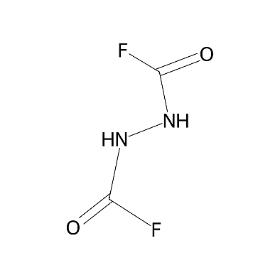 O=C(F)NNC(=O)F